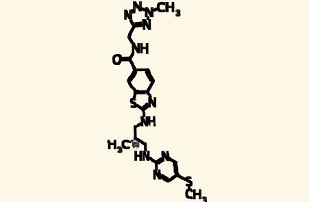 CSc1cnc(NC[C@H](C)CNc2nc3ccc(C(=O)NCc4nnn(C)n4)cc3s2)nc1